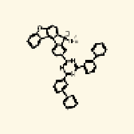 CC(C)(C)C1(C)c2cc(-c3nc(-c4cccc(-c5ccccc5)c4)nc(-c4cccc(-c5ccccc5)c4)n3)ccc2-c2c1ccc1oc3ccccc3c21